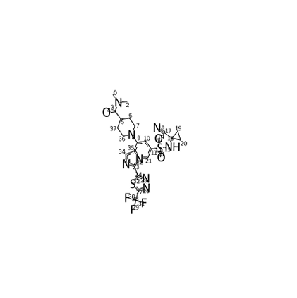 CN(C)C(=O)C1CCN(c2cc(S(=O)(=O)NC3(C#N)CC3)cn3c(-c4nnc(C(F)(F)F)s4)ncc23)CC1